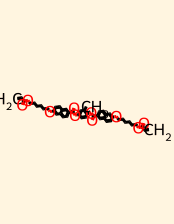 C=CC(=O)OCCCCCCOc1ccc2cc(C(=O)Oc3ccc(OC(=O)c4ccc5cc(OCCCCCCOC(=O)C=C)ccc5c4)c(C)c3)ccc2c1